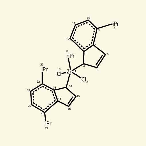 CC[CH2][Zr]([Cl])([Cl])([CH]1C=Cc2c(C(C)C)cccc21)[CH]1C=Cc2c(C(C)C)ccc(C(C)C)c21